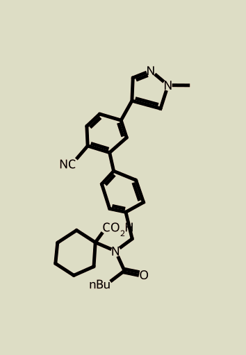 CCCCC(=O)N(Cc1ccc(-c2cc(-c3cnn(C)c3)ccc2C#N)cc1)C1(C(=O)O)CCCCC1